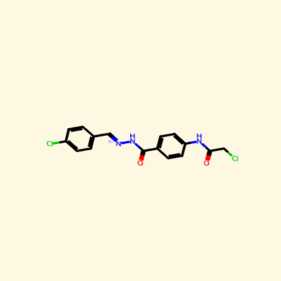 O=C(CCl)Nc1ccc(C(=O)N/N=C/c2ccc(Cl)cc2)cc1